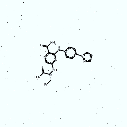 CC(C)C[C@@H](Nc1cnc(C(N)=O)c(Nc2ccc(-n3cccn3)cc2)n1)C(N)=O